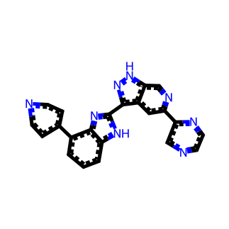 c1cc(-c2ccncc2)c2nc(-c3n[nH]c4cnc(-c5cnccn5)cc34)[nH]c2c1